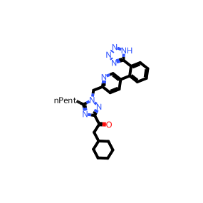 CCCCCc1nc(C(=O)CC2CCCCC2)nn1Cc1ccc(-c2ccccc2-c2nnn[nH]2)cn1